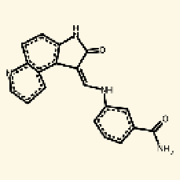 NC(=O)c1cccc(N/C=C2\C(=O)Nc3ccc4ncccc4c32)c1